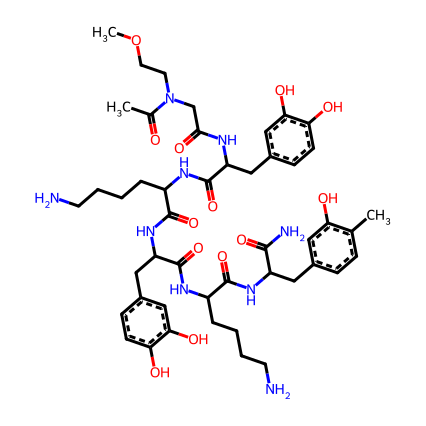 COCCN(CC(=O)NC(Cc1ccc(O)c(O)c1)C(=O)NC(CCCCN)C(=O)NC(Cc1ccc(O)c(O)c1)C(=O)NC(CCCCN)C(=O)NC(Cc1ccc(C)c(O)c1)C(N)=O)C(C)=O